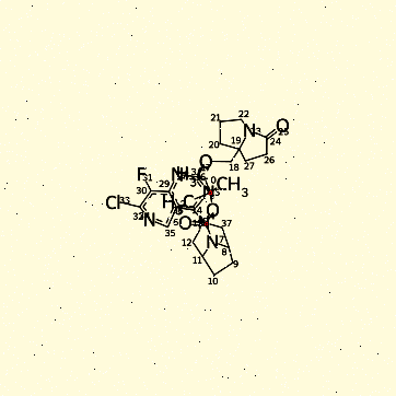 CC(C)(C)OC(=O)N1C2CCC1CN(c1nc(OCC34CCCN3C(=O)CC4)nc3c(F)c(Cl)ncc13)C2